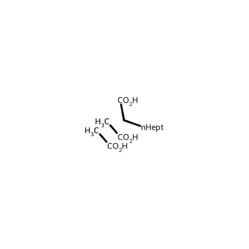 CC(=O)O.CC(=O)O.CCCCCCCCC(=O)O